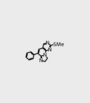 CSc1ncc2c(n1)N1CCN=C1C(c1ccccc1)=C2